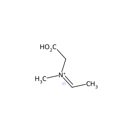 C/C=[N+](/C)CC(=O)O